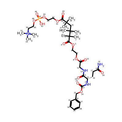 CCC(C)(C(=O)OCCOC(=O)CNC(=O)[C@H](CCC(N)=O)NC(=O)OCc1ccccc1)C(C)(C)CC(C)(C)C(=O)OCCOP(=O)(O)OCC[N+](C)(C)C